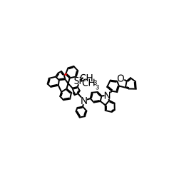 C[Si]1(C)c2ccccc2C2(c3ccccc3-c3cccc4cccc2c34)c2ccc(N(c3ccccc3)c3ccc4c(c3)c3ccccc3n4-c3ccc4oc5ccccc5c4c3)cc21